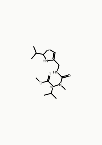 COC(=O)[C@H](C(C)C)N(C)C(=O)NCC1=CSC(C(C)C)N1